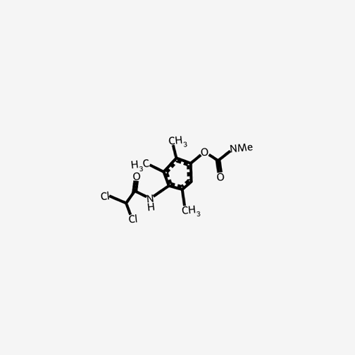 CNC(=O)Oc1cc(C)c(NC(=O)C(Cl)Cl)c(C)c1C